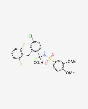 COc1ccc(S(=O)(=O)NC(F)(C(=O)O)c2ccc(Cl)cc2Cc2c(F)cccc2F)cc1OC